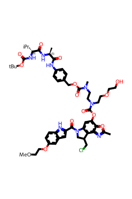 COCCOc1ccc2[nH]c(C(=O)N3CC(CCl)c4c3cc(OC(=O)N(CCOCCO)CCN(C)C(=O)OCc3ccc(NC(=O)[C@H](C)NC(=O)[C@H](NC(=O)OC(C)(C)C)C(C)C)cc3)c3oc(C)nc43)cc2c1